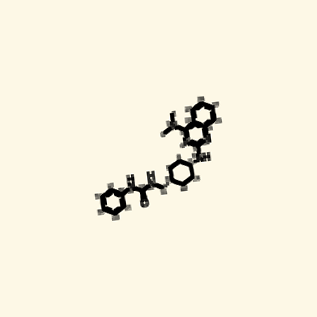 CN(C)c1nc(N[C@H]2CC[C@@H](CNC(=O)Nc3ccccc3)CC2)nc2ccccc12